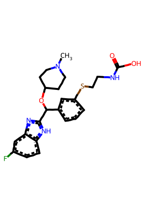 CN1CCC(OC(c2cccc(SCCNC(=O)O)c2)c2nc3cc(F)ccc3[nH]2)CC1